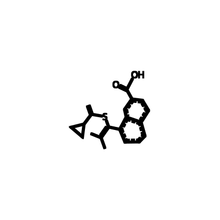 C=C(SC(=C(C)C)c1cccc2ccc(C(=O)O)cc12)C1CC1